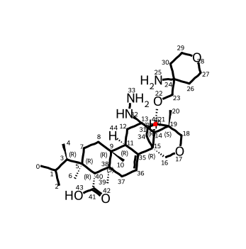 CC(C)[C@@H](C)[C@@]1(C)CC[C@]2(C)[C@H]3CC[C@@H]4[C@@]5(COC[C@@]4(C)[C@@H](OCC4(N)CCOCC4)[C@H](NN)C5)C3=CC[C@@]2(C)[C@@H]1C(=O)O